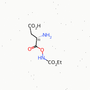 CCOC(=O)NOC(=O)[C@@H](N)CC(=O)O